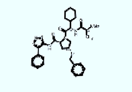 CN[C@@H](C)C(=O)N[C@H](C(=O)N1C[C@H](OCc2ccccc2)C[C@H]1C(=O)Nc1snnc1-c1ccccc1)C1CCCCC1